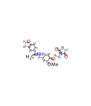 COc1cc(CN[C@@H](C)c2ccc3c(c2)CCO3)ccc1OCCN1C(=O)CCC1=O